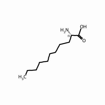 CCCCCCCCC[C@H](N)C(=O)O